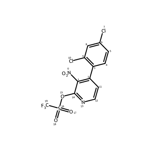 O=[N+]([O-])c1c(-c2ccc(Cl)cc2Cl)ccnc1OS(=O)(=O)C(F)(F)F